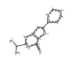 CC(C)C(N)c1nc2cc(-c3ccncn3)sc2c(=O)[nH]1